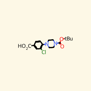 CC(C)(C)OC(=O)N1CCN(c2ccc(C(=O)O)cc2Cl)CC1